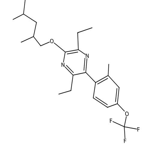 CCc1nc(-c2ccc(OC(F)(F)F)cc2C)c(CC)nc1OCC(C)CC(C)C